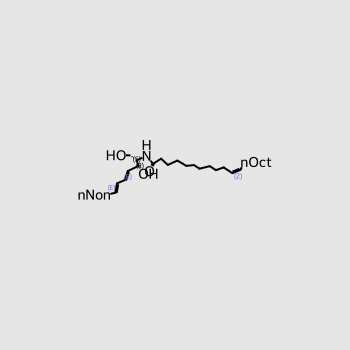 CCCCCCCC/C=C\CCCCCCCCCC(=O)N[C@@H](CO)[C@H](O)/C=C/C=C/CCCCCCCCC